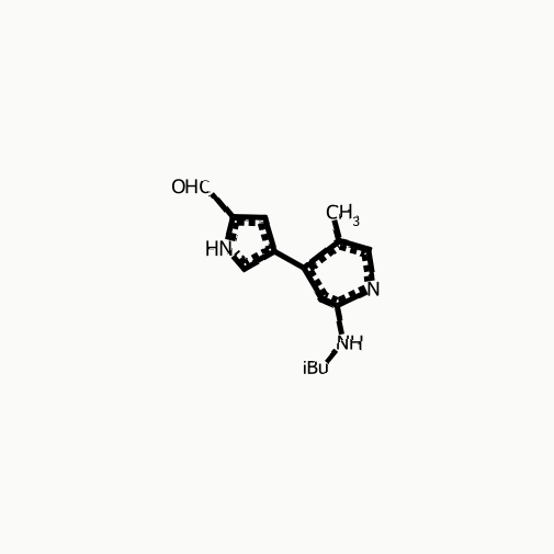 CCC(C)Nc1cc(-c2c[nH]c(C=O)c2)c(C)cn1